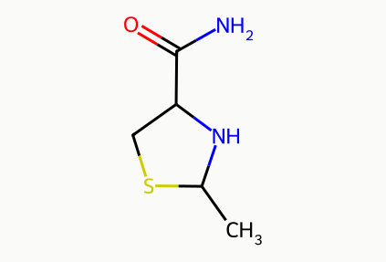 CC1NC(C(N)=O)CS1